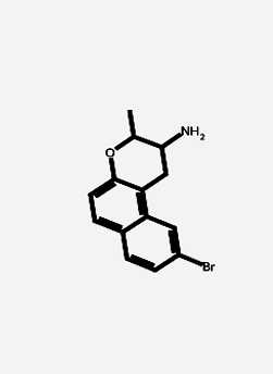 CC1Oc2ccc3ccc(Br)cc3c2CC1N